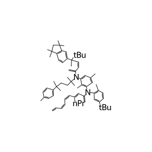 C=C\C=C/C=C\C(=C\C(=C)N(c1cc(C(C)(C)C)ccc1C)c1cc(C)cc(N(C(=C)/C=C\C(C)(c2ccc3c(c2)C(C)(C)CC3(C)C)C(C)(C)C)C(C)(C)CCC(C)(C)c2ccc(C)cc2)c1C)CCC